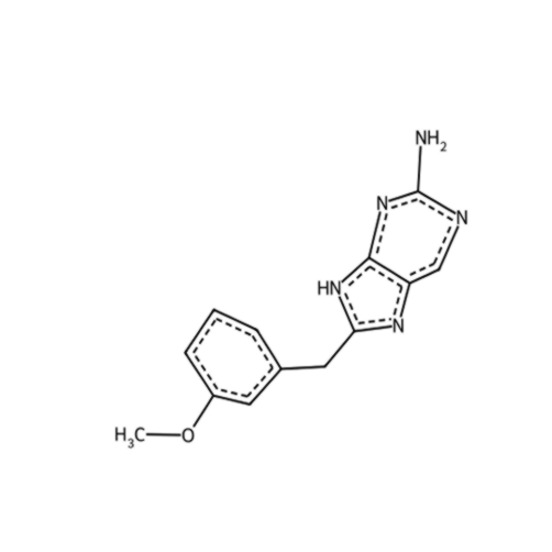 COc1cccc(Cc2nc3cnc(N)nc3[nH]2)c1